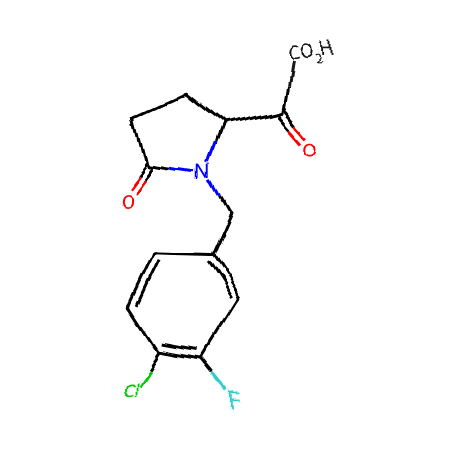 O=C(O)C(=O)C1CCC(=O)N1Cc1ccc(Cl)c(F)c1